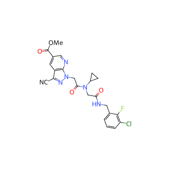 COC(=O)c1cnc2c(c1)c(C#N)nn2CC(=O)N(CC(=O)NCc1cccc(Cl)c1F)C1CC1